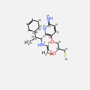 C=CNC[C@@H](C)[C@H]1CC=CC[C@@H]1n1cc(OCC(O)CF)ccc1=N